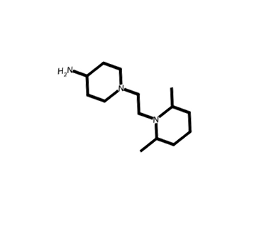 CC1CCCC(C)N1CCN1CCC(N)CC1